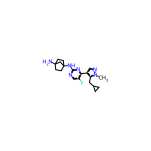 Cn1ncc(-c2nc(NC34CCC(N)(CC3)C4)ncc2F)c1CC1CC1